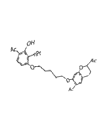 CCCc1c(OCCCCCOc2cc3c(cc2C(C)=O)CCC(C(C)=O)O3)ccc(C(C)=O)c1O